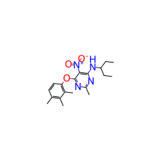 CCC(CC)Nc1nc(C)nc(Oc2ccc(C)c(C)c2C)c1[N+](=O)[O-]